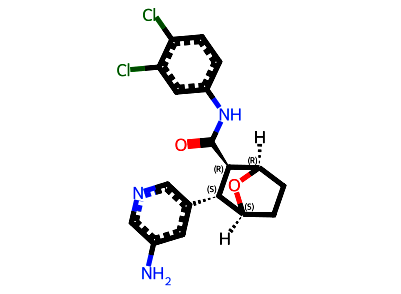 Nc1cncc([C@@H]2[C@@H](C(=O)Nc3ccc(Cl)c(Cl)c3)[C@H]3CC[C@@H]2O3)c1